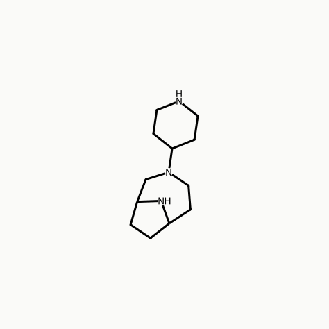 C1CC(N2CCC3CCC(C2)N3)CCN1